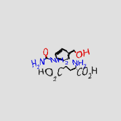 NC(N)=O.N[C@@H](CCC(=O)O)C(=O)O.OCc1ccccc1